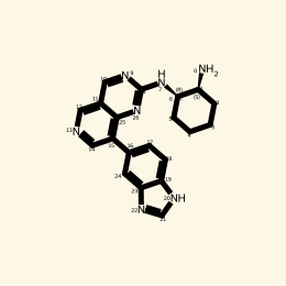 N[C@H]1CCCC[C@H]1Nc1ncc2cncc(-c3ccc4[nH]cnc4c3)c2n1